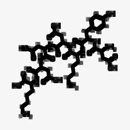 NCCCCC(NC(=O)C(CC(=O)O)NC(=O)C(CC(=O)O)NC(=O)C(CC(=O)O)NC(=O)C(CCCCN)NC(=O)C(Cc1ccc(O)cc1)NC(=O)C(N)CC(=O)O)C(=O)O